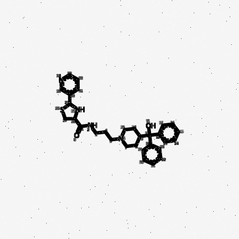 O=C(NCCCN1CCC(C(O)(c2ccccc2)c2ccccc2)CC1)C1CSC(c2cccnc2)N1